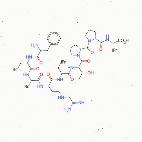 CCC(C)C(NC(=O)C(CC(C)C)NC(=O)C(N)Cc1ccccc1)C(=O)NC(CCNCC(=N)N)C(=O)NC(CC(C)C)C(=O)NC(C(=O)N1CCCC1C(=O)N1CCCC1C(=O)NC(C(=O)O)C(C)C)C(C)O